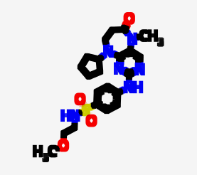 COCCNS(=O)(=O)c1ccc(Nc2ncc3c(n2)N(C2CCCC2)CCC(=O)N3C)cc1